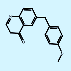 COc1ccc(Cc2ccc3c(c2)C(=O)CC=N3)cc1